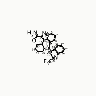 NC(=O)c1nn2ccccc2c1C1CCCC[C@@H]1Nc1cc(C(F)(F)F)nc2ccccc12